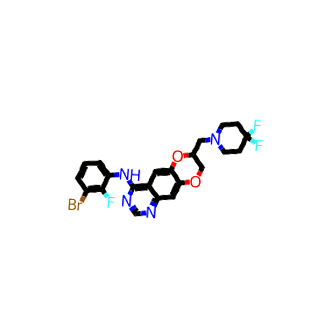 Fc1c(Br)cccc1Nc1ncnc2cc3c(cc12)OC(CN1CCC(F)(F)CC1)CO3